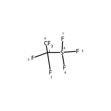 FC(F)(F)C(F)(F)S(F)(F)F